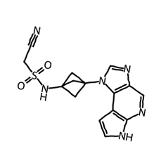 N#CCS(=O)(=O)NC12CC(n3cnc4cnc5[nH]ccc5c43)(C1)C2